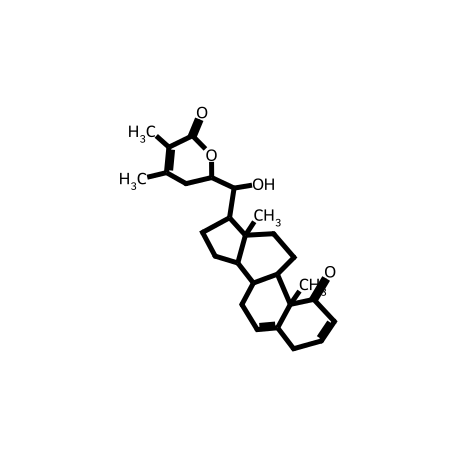 CC1=C(C)C(=O)OC(C(O)C2CCC3C4CC=C5CC=CC(=O)C5(C)C4CCC23C)C1